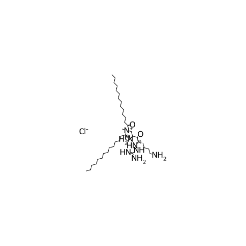 CCCCCCCCCCCCCC(=O)[N+](C)(CC(N)C(=O)[C@H](CCCCN)NNC(=N)N)C(=O)CCCCCCCCCCCCC.[Cl-]